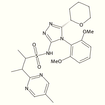 COc1cccc(OC)c1-n1c(NS(=O)(=O)C(C)C(C)c2ncc(C)cn2)nnc1[C@@H]1CCCCO1